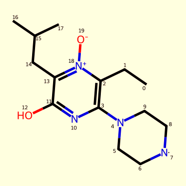 CCc1c(N2CC[N]CC2)nc(O)c(CC(C)C)[n+]1[O-]